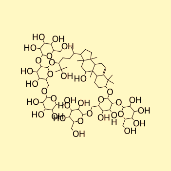 CC(CCC(OC1OC(COC2OC(CO)C(O)C(O)C2O)C(O)C(O)C1OC1OC(CO)C(O)C(O)C1O)C(C)(C)O)C1CCC2(C)C3CC=C4C(CCC(OC5OC(COC6OC(CO)C(O)C(O)C6O)C(O)C(O)C5OC5OC(CO)C(O)C(O)C5O)C4(C)C)C3(C)C(O)CC12C